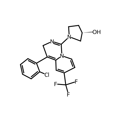 O[C@H]1CCN(C2=NCC(c3ccccc3Cl)=C3C=C(C(F)(F)F)C=CN23)C1